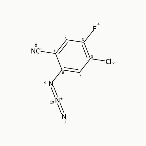 N#Cc1cc(F)c(Cl)cc1N=[N+]=[N-]